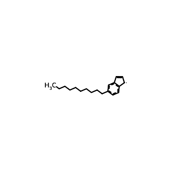 CCCCCCCCCCc1ccc2c(c1)C=C[CH]2